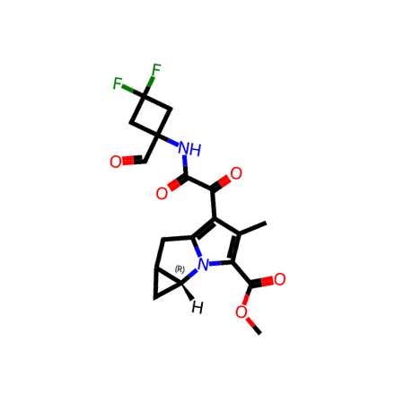 COC(=O)c1c(C)c(C(=O)C(=O)NC2(C=O)CC(F)(F)C2)c2n1[C@@H]1CC1C2